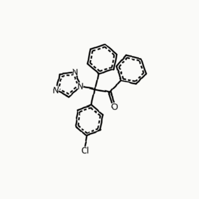 O=C(c1ccccc1)C(c1ccccc1)(c1ccc(Cl)cc1)n1cncn1